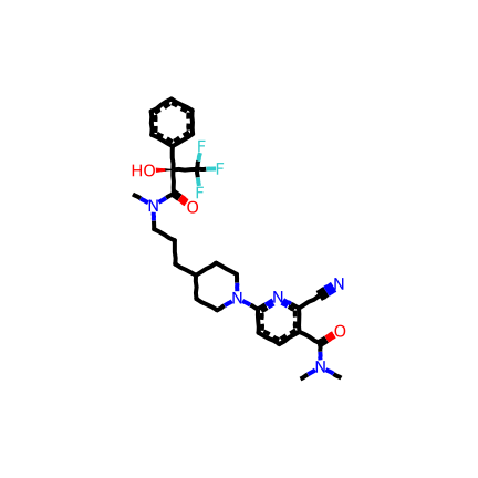 CN(C)C(=O)c1ccc(N2CCC(CCCN(C)C(=O)[C@](O)(c3ccccc3)C(F)(F)F)CC2)nc1C#N